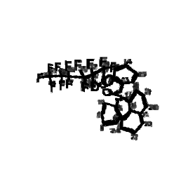 O=S(=O)(OS(c1ccccc1)(c1ccccc1)c1cccc2ccccc12)C(F)(F)C(F)(F)C(F)(F)C(F)(F)C(F)(F)C(F)(F)F